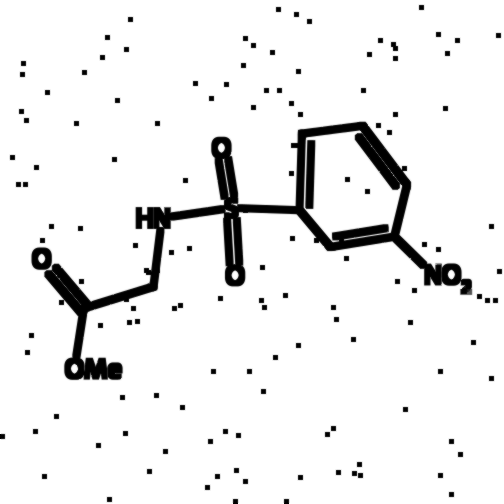 COC(=O)CNS(=O)(=O)c1cccc([N+](=O)[O-])c1